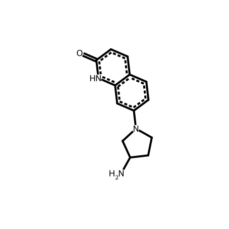 NC1CCN(c2ccc3ccc(=O)[nH]c3c2)C1